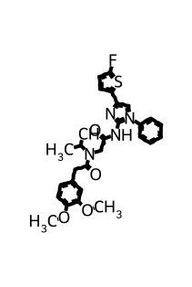 COc1ccc(CC(=O)N(CC(=O)Nc2nc(-c3ccc(F)s3)cn2-c2ccccc2)C(C)C)cc1OC